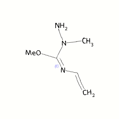 C=C/N=C(/OC)N(C)N